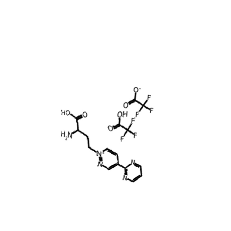 NC(CC[n+]1ccc(-c2ncccn2)cn1)C(=O)O.O=C(O)C(F)(F)F.O=C([O-])C(F)(F)F